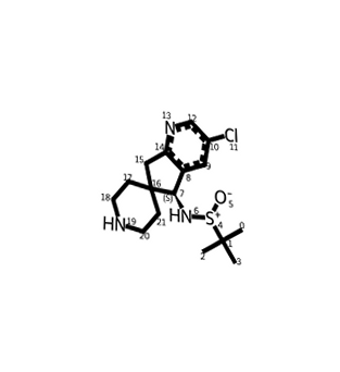 CC(C)(C)[S+]([O-])N[C@@H]1c2cc(Cl)cnc2CC12CCNCC2